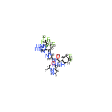 CC(C)n1nccc1C(=O)N[C@H](C(=O)Nc1cnn(C(CC(F)(F)F)C2=NNNN2CC(F)(F)F)c1)C1CCC(F)(F)CC1